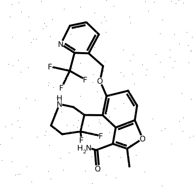 Cc1oc2ccc(OCc3cccnc3C(F)(F)F)c(C3CNCCC3(F)F)c2c1C(N)=O